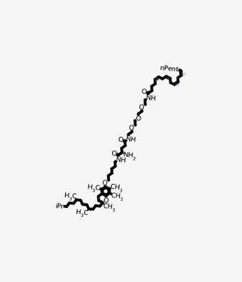 CCCCC/C=C\C/C=C\C/C=C\C/C=C\CCCC(=O)NCCOCCOCCOCCNC(=O)CC[C@H](N)C(=O)NCCCCCCOc1c(C)c(C)c2c(c1C)CC[C@@](C)(CCC[C@H](C)CCC[C@H](C)CCCC(C)C)O2